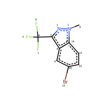 Cn1nc(C(F)(F)F)c2cc(Br)ccc21